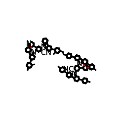 Cc1ccc(-c2ccc3c4ccc(-c5ccc(C)cc5)cc4n(-c4cc(-c5ccncc5)c(-n5c6cc(-c7ccc(C)cc7)ccc6c6ccc(-c7ccc(CCc8ccc(-c9ccc%10c(c9)c9ccccc9n%10-c9cc(-c%10ccncc%10)c(-n%10c%11ccccc%11c%11cc(-c%12ccc(C)cc%12C)ccc%11%10)cc9C#N)c(C)c8)cc7)cc65)cc4C#N)c3c2)cc1